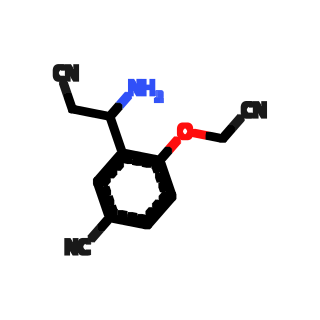 N#CCOc1ccc(C#N)cc1C(N)CC#N